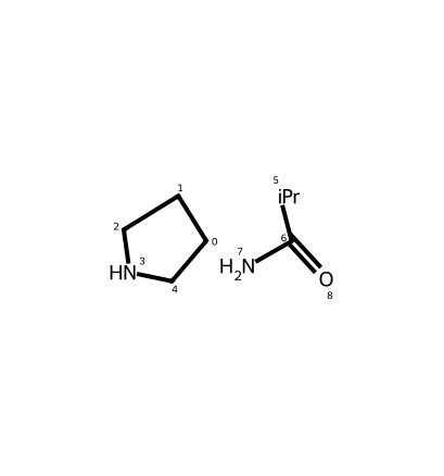 C1CCNC1.CC(C)C(N)=O